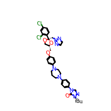 CCC(C)n1ncn(-c2ccc(N3CCCN(c4ccc(OC[C@@H]5CO[C@@](Cn6nccn6)(c6ccc(Cl)cc6Cl)O5)cc4)CC3)cc2)c1=O